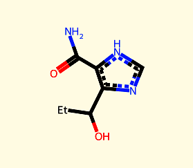 CCC(O)c1nc[nH]c1C(N)=O